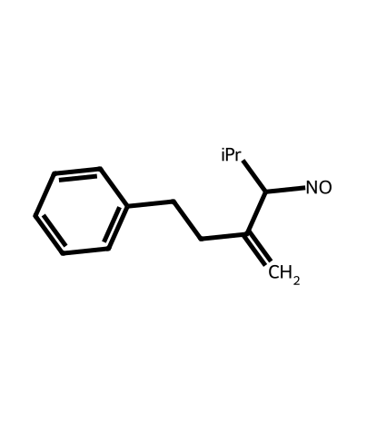 C=C(CCc1ccccc1)C(N=O)C(C)C